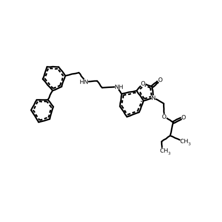 CCC(C)C(=O)OCn1c(=O)oc2c(NCCNCc3cccc(-c4ccccc4)c3)cccc21